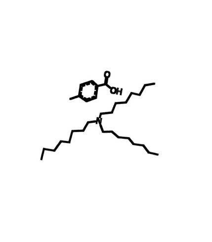 CCCCCCCCN(CCCCCCCC)CCCCCCCC.Cc1ccc(C(=O)O)cc1